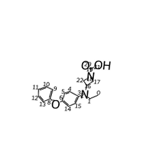 CCN(c1ccc(Oc2ccccc2)cc1)C1CN(C(=O)O)C1